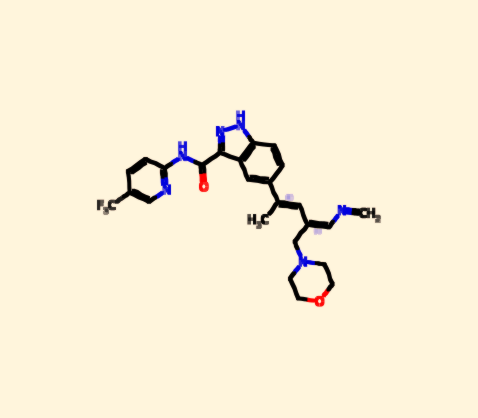 C=N/C=C(\C=C(/C)c1ccc2[nH]nc(C(=O)Nc3ccc(C(F)(F)F)cn3)c2c1)CN1CCOCC1